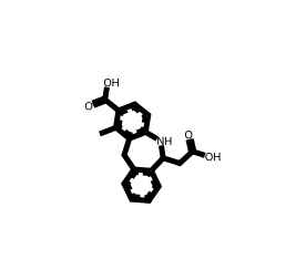 Cc1c(C(=O)O)ccc2c1Cc1ccccc1C(CC(=O)O)N2